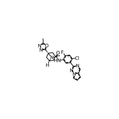 Cc1nnc([C@]23C[C@@H](C)C[C@H](C2)N3C(=O)Nc2cc(-c3ncc4cccn4n3)c(Cl)cc2F)o1